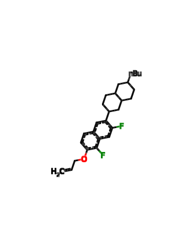 C=CCOc1ccc2cc(C3CCC4CC(CCCC)CCC4C3)c(F)cc2c1F